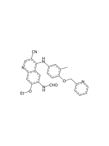 CCOc1cc2ncc(C#N)c(Nc3ccc(OCc4ccccn4)c(C)c3)c2cc1NC=O